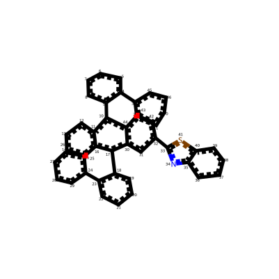 c1ccc(-c2ccccc2-c2c3ccccc3c(-c3ccccc3-c3ccccc3)c3cc(-c4nc5ccccc5s4)ccc23)cc1